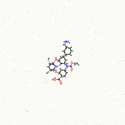 COC(=O)Nc1ccc(C(=O)O)c(Oc2nc(Oc3cccc(-c4cccc(CN)c4)c3)c(F)cc2F)c1